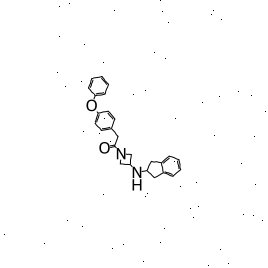 O=C(Cc1ccc(Oc2ccccc2)cc1)N1CC(NC2Cc3ccccc3C2)C1